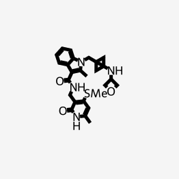 CSc1cc(C)[nH]c(=O)c1CNC(=O)c1c(C)n(CC23CC2(NC2COC2)C3)c2ccccc12